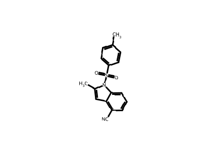 Cc1ccc(S(=O)(=O)n2c(C)cc3c(C#N)cccc32)cc1